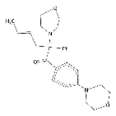 CC=CCC(CC)(C(=O)c1ccc(N2CCOCC2)cc1)N1CCOCC1